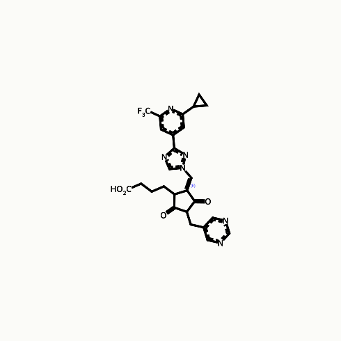 O=C(O)CCCC1C(=O)C(Cc2cncnc2)C(=O)/C1=C/n1cnc(-c2cc(C3CC3)nc(C(F)(F)F)c2)n1